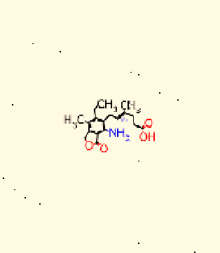 CCc1c(C)c2c(c(N)c1C/C=C(\C)CCC(=O)O)C(=O)OC2